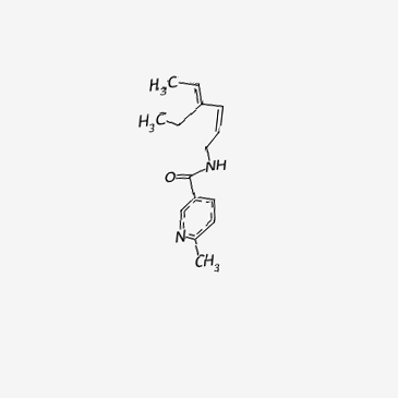 C/C=C(/C=C\CNC(=O)c1ccc(C)nc1)CC